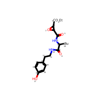 CCOC(=O)C1OC1C(=O)NC(C(=O)NCCc1ccc(O)cc1)C(C)CC